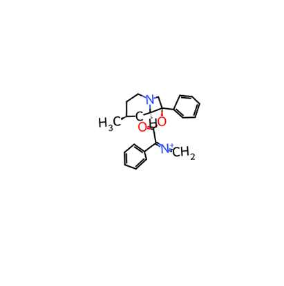 C=[N+]=C(C(=O)O[C@]1(c2ccccc2)CN2CC[C@H](C)C[C@@H]21)c1ccccc1